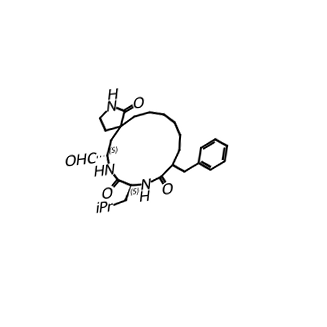 CC(C)C[C@@H]1NC(=O)C(Cc2ccccc2)CCCCCCC2(CCNC2=O)C[C@@H](C=O)NC1=O